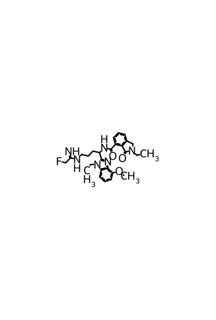 CCN1Cc2cccc(C(=O)NC(CCCNC(=N)CF)c3nc4c(OC)cccc4n3CC)c2C1=O